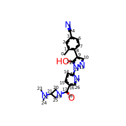 Cc1cc(C#N)ccc1-c1cnn(-c2ccc(C(=O)N3CC(N(C)C)C3)cn2)c1O